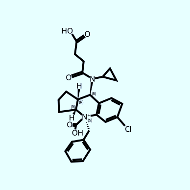 O=C(O)CCC(=O)N(C1CC1)[C@H]1c2ccc(Cl)cc2[N@@+](Cc2ccccc2)(C(=O)O)[C@@H]2CCC[C@@H]21